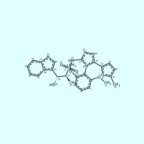 COc1cccc(OC)c1-n1c(NS(=O)(=O)[C@@H](C)[C@H](O)c2cnc3ccccn23)nnc1-c1ccc(C)o1